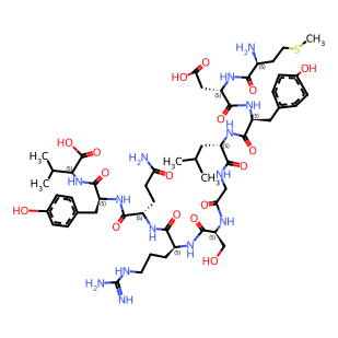 CSCC[C@H](N)C(=O)N[C@@H](CC(=O)O)C(=O)N[C@@H](Cc1ccc(O)cc1)C(=O)N[C@@H](CC(C)C)C(=O)NCC(=O)N[C@@H](CO)C(=O)N[C@@H](CCCNC(=N)N)C(=O)N[C@@H](CCC(N)=O)C(=O)N[C@@H](Cc1ccc(O)cc1)C(=O)N[C@H](C(=O)O)C(C)C